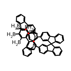 Bc1c(B)c(B)c(-c2ccccc2N(c2ccc3c(c2)C(C)(C)c2ccccc2-3)c2ccc3c(c2)C2(c4ccccc4-c4ccc(N(c5ccccc5)c5ccccc5)cc42)c2ccccc2-3)c(B)c1B